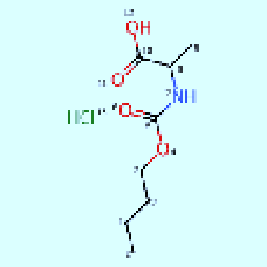 CCCCOC(=O)NC(C)C(=O)O.Cl